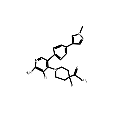 Cn1cc(-c2ccc(-c3cnc(N)c(Cl)c3N3CCC(F)(C(N)=O)CC3)cc2)cn1